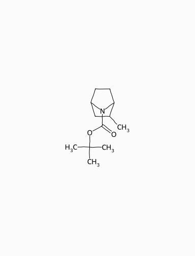 CC1CC2CCC1N2C(=O)OC(C)(C)C